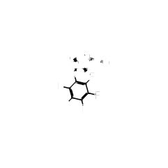 O=C=NS(=O)(=O)Oc1c(F)c(F)c(F)c(F)c1F